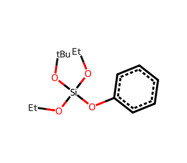 CCO[Si](OCC)(Oc1ccccc1)OC(C)(C)C